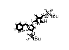 Cc1c(C[C@@H]2C[C@@H](O[Si](C)(C)C(C)(C)C)CN2Cc2ccccc2)n[nH]c1CO[Si](C)(C)C(C)(C)C